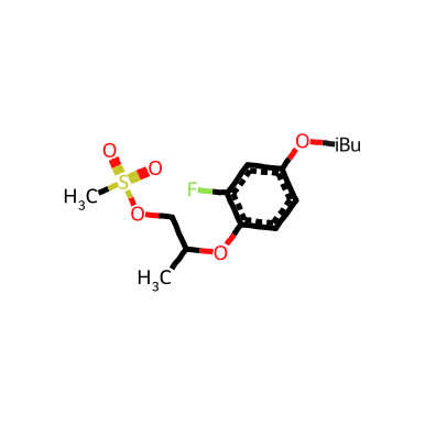 CCC(C)Oc1ccc(OC(C)COS(C)(=O)=O)c(F)c1